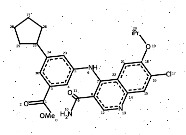 COC(=O)c1cc(Nc2c(C(N)=O)cnc3cc(Cl)c(OC(C)C)cc23)cc(C2CCCC2)c1